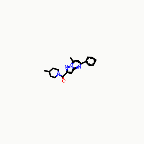 Cc1cc(-c2ccccc2)nc2cc(C(=O)N3CCC(C)CC3)nn12